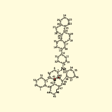 c1ccc(-c2ccc(N(c3ccc(-c4ccc5c(ccc6c7ccccc7ccc56)c4)cc3)c3ccccc3-c3ccc4ccccc4c3)cc2)cc1